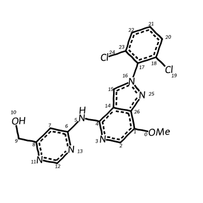 COc1cnc(Nc2cc(CO)ncn2)c2cn(-c3c(Cl)cccc3Cl)nc12